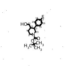 CC(C)(C)OC(=O)N1CCC(CO)C(c2ccc(F)cc2)C1